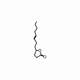 CCCCC=CCCC1CCC(=O)O1